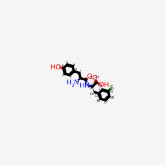 N[C@@H](Cc1ccc(O)cc1)C(=O)N[C@@H](Cc1cccc(F)c1)C(=O)O